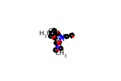 CC1CC=Cc2c1c1ccccc1n2-c1ccc(-c2ccc3c(c2)-c2c(-c4nc(C5=CCC(c6ccccc6)C=C5)nc(-c5ccccc5)n4)cccc2C32c3ccccc3C(C)(C)c3ccccc32)cc1